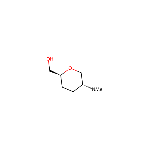 CN[C@@H]1CC[C@@H](CO)OC1